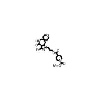 CCc1nn(CCCOC(=O)C2CCN(C(=O)OC)CC2)c2c1C(=O)NCC1(CCOCC1)C2